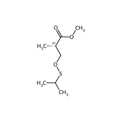 COC(=O)[C@@H](C)COSC(C)C